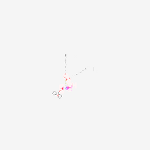 CCCCCCCCCCCCOC[C@H](CSC[C@H](NC(=O)OCC1c2ccccc2-c2ccccc21)C(=O)O)OCCCCCCCCCCCC